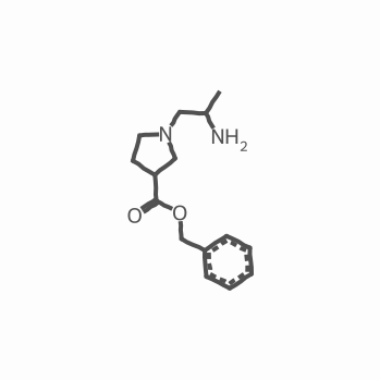 CC(N)CN1CCC(C(=O)OCc2ccccc2)C1